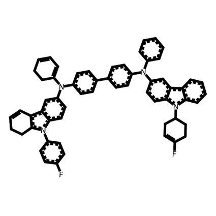 FC1=CCC(n2c3ccccc3c3cc(N(c4ccccc4)c4ccc(-c5ccc(N(C6=CC=CCC6)c6ccc7c(c6)c6c(n7-c7ccc(F)cc7)CCC=C6)cc5)cc4)ccc32)CC1